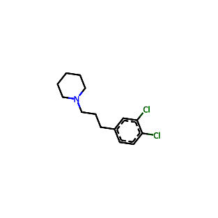 Clc1ccc(CCCN2CCCCC2)cc1Cl